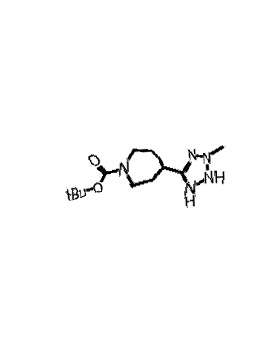 CN1N=C(C2CCN(C(=O)OC(C)(C)C)CC2)NN1